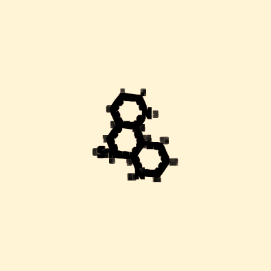 [Sm].c1cnc2c(c1)ccc1ncccc12